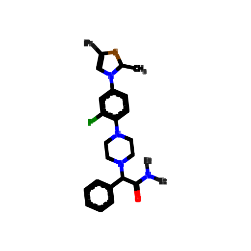 CCN(CC)C(=O)C(c1ccccc1)N1CCN(c2ccc(N3C=C(C(C)C)SC3C)cc2F)CC1